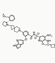 O=C(NS(=O)(=O)c1cc([N+](=O)[O-])c2c(n1)OC[C@H](C1CCC1)N2)c1ccc(N2CCC3(CC2)CC(N2CCC[C@@H]2c2ccccc2C2CC2)C3)cc1Oc1cnc2[nH]ccc2c1